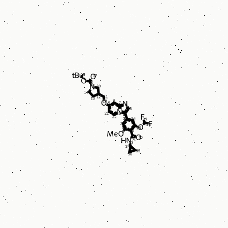 COc1cc(-c2cnc3cc(OCC4CCN(C(=O)OC(C)(C)C)C4)ccn23)cc(OC(F)F)c1C(=O)NC1CC1